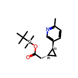 Cc1ccc([C@H]2C[C@@H]2CC(=O)O[Si](C)(C)C(C)(C)C)cn1